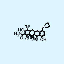 CN(C)C1C(O)=C(C(N)=O)C(=O)C2(O)C(O)=C3C(=O)c4c(O)ccc(CN5CCCC5)c4CC3CC12